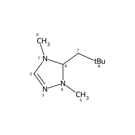 CN1C=NN(C)C1CC(C)(C)C